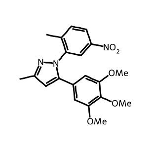 COc1cc(-c2cc(C)nn2-c2cc([N+](=O)[O-])ccc2C)cc(OC)c1OC